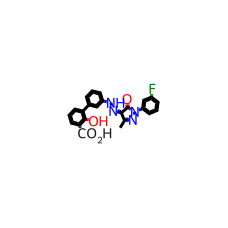 CC1=NN(c2cccc(F)c2)C(=O)C1=NNc1cccc(-c2cccc(C(=O)O)c2O)c1